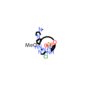 COc1cc(N2CCC(N(C)C)C2)c2cc1Nc1ncc(Cl)c(n1)Nc1ccc(cc1N(C)S(C)(=O)=O)OCCCCC2